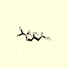 CB/C=C(C)/C=N\N(C)C(F)F